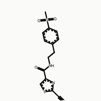 C#Cc1nc(C(=O)NCCc2ccc(S(C)(=O)=O)cc2)cs1